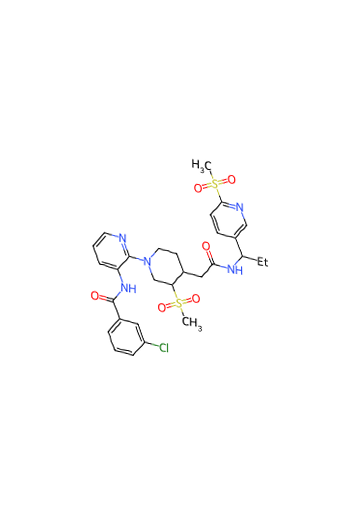 CCC(NC(=O)CC1CCN(c2ncccc2NC(=O)c2cccc(Cl)c2)CC1S(C)(=O)=O)c1ccc(S(C)(=O)=O)nc1